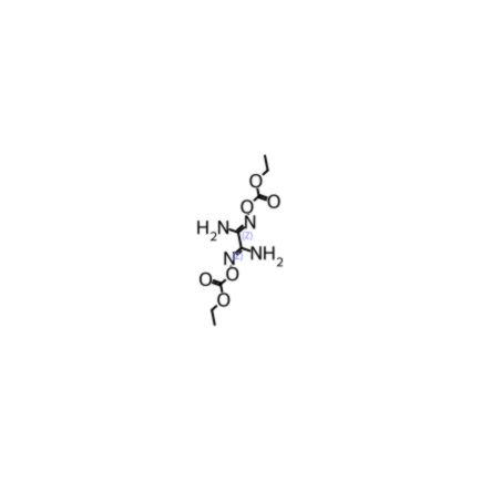 CCOC(=O)O/N=C(N)/C(N)=N/OC(=O)OCC